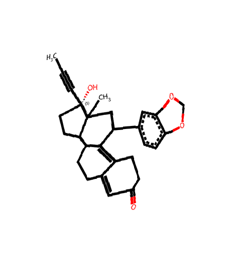 CC#C[C@]1(O)CCC2C3CCC4=CC(=O)CCC4=C3C(c3ccc4c(c3)OCO4)CC21C